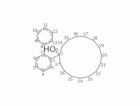 OC1(c2ccccc2-c2ccccc2)CCCCCCCCCCCCCC1